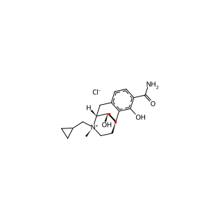 C[N@+]1(CC2CC2)CC[C@]23CCCC[C@@]2(O)[C@H]1Cc1ccc(C(N)=O)c(O)c13.[Cl-]